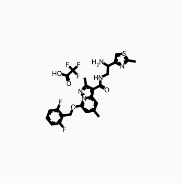 Cc1cc(OCc2c(F)cccc2F)n2nc(C)c(C(=O)NCC(N)c3csc(C)n3)c2c1.O=C(O)C(F)(F)F